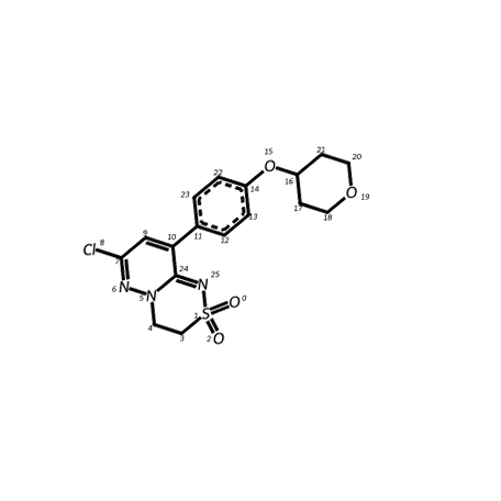 O=S1(=O)CCN2N=C(Cl)C=C(c3ccc(OC4CCOCC4)cc3)C2=N1